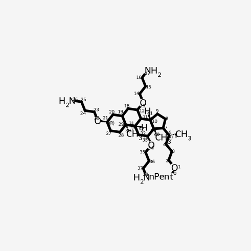 CCCCCOCCC[C@@H](C)C1CC[C@H]2C3C(OCCCN)CC4C[C@H](OCCCN)CC[C@]4(C)[C@H]3C[C@H](OCCCN)[C@]12C